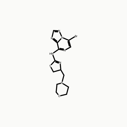 Brc1cnc(NC2=NC(CN3CCOCC3)CS2)c2ncnn12